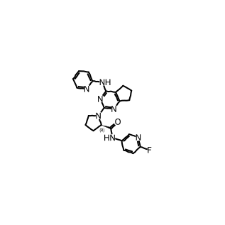 O=C(Nc1ccc(F)nc1)[C@H]1CCCN1c1nc2c(c(Nc3ccccn3)n1)CCC2